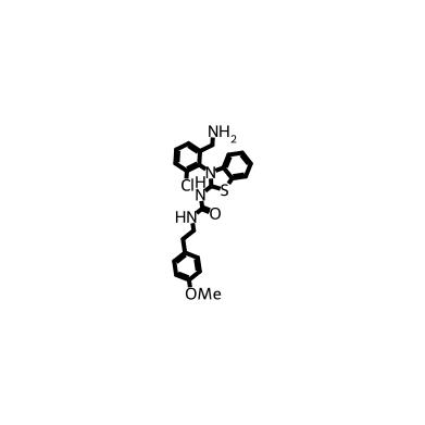 COc1ccc(CCNC(=O)NC2Sc3ccccc3N2c2c(Cl)cccc2CN)cc1